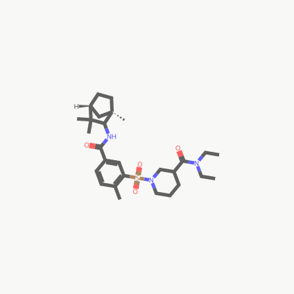 CCN(CC)C(=O)C1CCCN(S(=O)(=O)c2cc(C(=O)NC3C(C)(C)[C@@H]4CC[C@]3(C)C4)ccc2C)C1